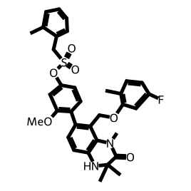 COc1cc(OS(=O)(=O)Cc2ccccc2C)ccc1-c1ccc2c(c1COc1cc(F)ccc1C)N(C)C(=O)C(C)(C)N2